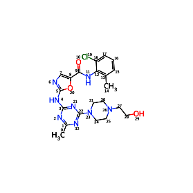 Cc1nc(Nc2ncc(C(=O)Nc3c(C)cccc3Cl)o2)nc(N2CCN(CCO)CC2)n1